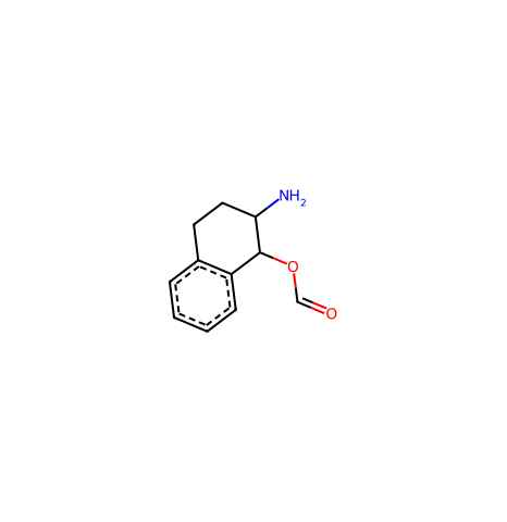 NC1CCc2ccccc2C1OC=O